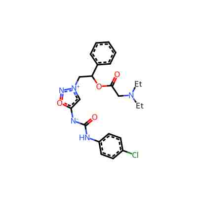 CCN(CC)CC(=O)OC(C[n+]1cc([N-]C(=O)Nc2ccc(Cl)cc2)on1)c1ccccc1